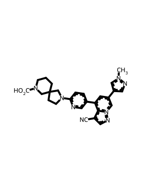 Cn1cc(-c2cc(-c3ccc(N4CCC5(CCCN(C(=O)O)C5)C4)nc3)c3c(C#N)cnn3c2)cn1